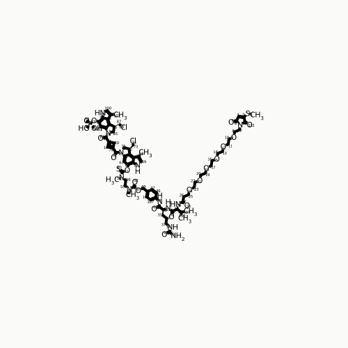 CSC1=CC(=O)N(CCOCCOCCOCCOCCOCCOCCC(=O)N[C@H](C(=O)N[C@@H](CCCNC(N)=O)C(=O)Nc2ccc(COC(=O)N(C)CCN(C)C(=S)Oc3cc4c(c5c(C)c[nH]c35)[C@H](CCl)CN4C(=O)C34CC(C(=O)N5C[C@@H](CCl)c6c5cc(OP(=O)(O)O)c5[nH]cc(C)c65)(C3)C4)cc2)C(C)C)C1=O